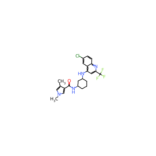 Cc1cn(C)cc1C(=O)N[C@@H]1CCC[C@H](Nc2cc(C(F)(F)F)nc3ccc(Cl)cc23)C1